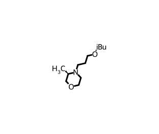 CC[C@@H](C)OCCCN1CCOC[C@H]1C